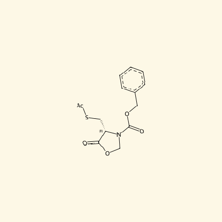 CC(=O)SC[C@H]1C(=O)OCN1C(=O)OCc1ccccc1